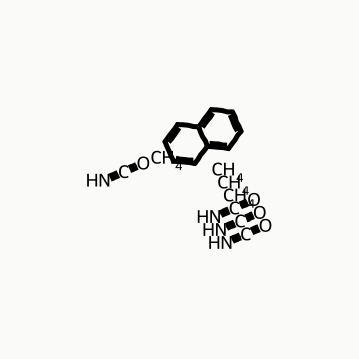 C.C.C.C.N=C=O.N=C=O.N=C=O.N=C=O.c1ccc2ccccc2c1